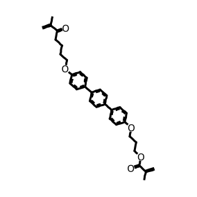 C=C(C)C(=O)CCCCOc1ccc(-c2ccc(-c3ccc(OCCCOC(=O)C(=C)C)cc3)cc2)cc1